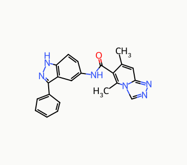 Cc1cc2nncn2c(C)c1C(=O)Nc1ccc2[nH]nc(-c3ccccc3)c2c1